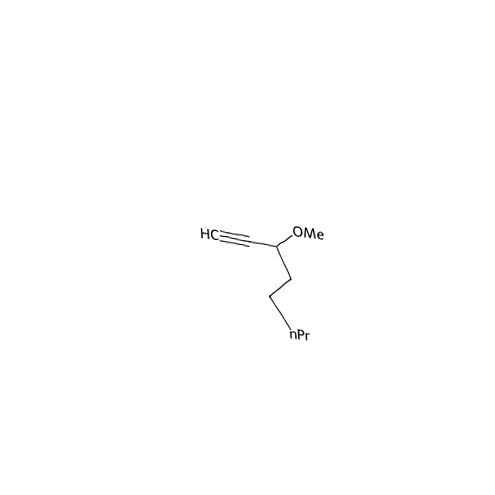 C#CC(CCCC[CH2])OC